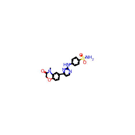 CN1C(=O)COc2ccc(-c3ccnc(Nc4ccc(S(N)(=O)=O)cc4)n3)cc21